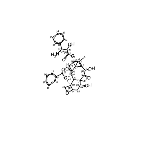 CC1=C2[C@@H](O)C(=O)C3(C)C([C@H](OC(=O)c4ccccc4)[C@](O)(C[C@@H]1OC(=O)[C@H](O)[C@@H](N)c1ccccc1)C2(C)C)[C@]1(C)COC1C[C@@H]3O